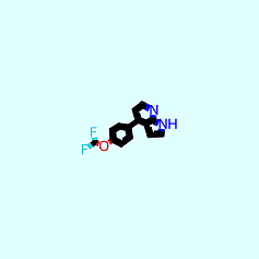 FC(F)Oc1ccc(-c2ccnc3[nH]ccc23)cc1